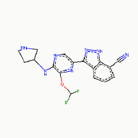 N#Cc1cccc2c(-c3cnc(NC4CCNC4)c(OC(F)F)n3)n[nH]c12